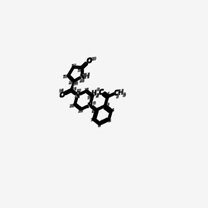 C=C(C)c1ccccc1N1CCN(C(=O)[C@H]2CCC(=O)N2)CC1